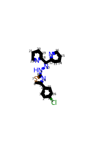 Clc1ccc(-c2csc(NN=C(c3ccccn3)c3ccccn3)n2)cc1